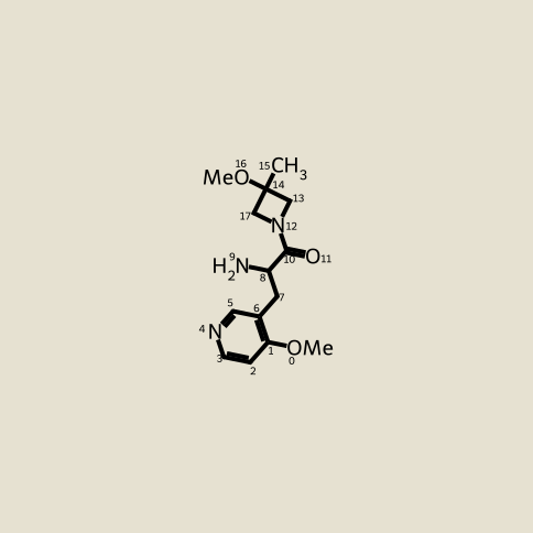 COc1ccncc1CC(N)C(=O)N1CC(C)(OC)C1